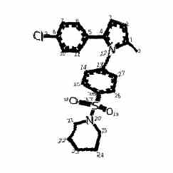 Cc1ccc(-c2ccc(Cl)cc2)n1-c1ccc(S(=O)(=O)N2CCCCC2)cc1